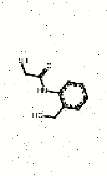 O=C(CS)Nc1ccccc1CO